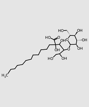 CCCCCCCCCCCCC(O)(C(=O)O)C(O)C(O[C@H]1O[C@H](CO)[C@@H](O)[C@H](O)[C@H]1O)C(O)CO